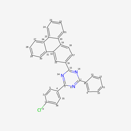 Clc1ccc(-c2nc(-c3ccccc3)nc(-c3ccc4c5ccccc5c5ccccc5c4c3)n2)cc1